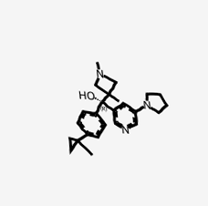 CN1CC(C)([C@](O)(c2ccc(C3(C)CC3)cc2)c2cncc(N3CCCC3)c2)C1